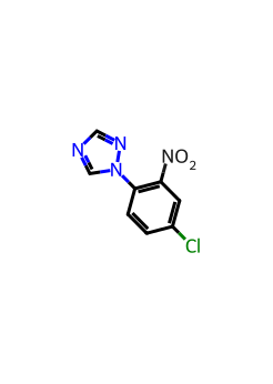 O=[N+]([O-])c1cc(Cl)ccc1-n1cncn1